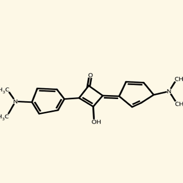 CN(C)c1ccc(C2=C(O)C(=C3C=CC(N(C)C)C=C3)C2=O)cc1